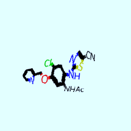 CC(=O)Nc1cc(OCc2ccccn2)c(Cl)cc1Nc1ncc(C#N)s1